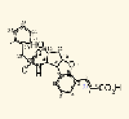 O=C(O)/C=C/c1cccc2c1OC1CC(O)C(NS(=O)(=O)Cc3ccccc3)C21